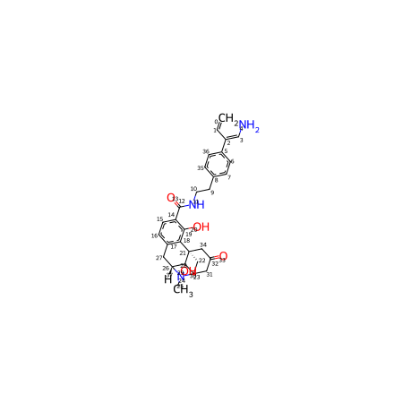 C=C/C(=C\N)c1ccc(CCNC(=O)c2ccc3c(c2O)[C@]24CCN(C)[C@H](C3)[C@]2(O)CCC(=O)C4)cc1